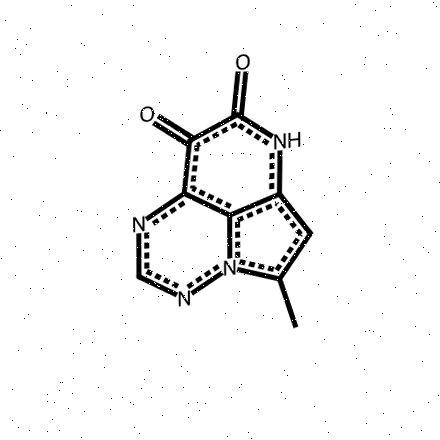 Cc1cc2[nH]c(=O)c(=O)c3ncnn1c23